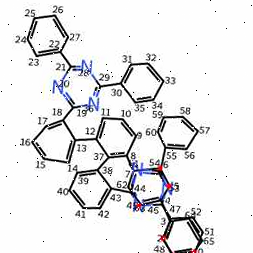 c1ccc(-c2ccc(-c3cccc(-c4ccccc4-c4nc(-c5ccccc5)nc(-c5ccccc5)n4)c3-c3ccccc3-c3nc(-c4ccccc4)nc(-c4ccccc4)n3)cc2)cc1